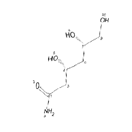 NC(=O)C[C@H](O)C[C@H](O)CO